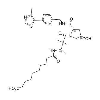 Cc1ncsc1-c1ccc(CNC(=O)[C@@H]2C[C@@H](O)CN2C(=O)C(C)(C)[C@H](C)NC(=O)CCCCCCCCC(=O)O)cc1